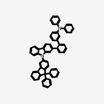 c1ccc(N(c2ccccc2)c2cccc(-c3ccccc3-c3ccc4c5ccccc5n(-c5ccc6c(c5)-c5ccccc5C6(c5ccccc5)c5ccccc5)c4c3)c2)cc1